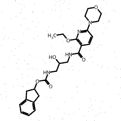 CCOc1nc(N2CCOCC2)ccc1C(=O)NCC(O)CNC(=O)OC1Cc2ccccc2C1